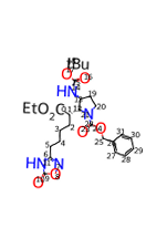 CCOC(=O)C(CCCCc1noc(=O)[nH]1)[C@@H]1[C@@H](NC(=O)OC(C)(C)C)CCN1C(=O)OCc1ccccc1